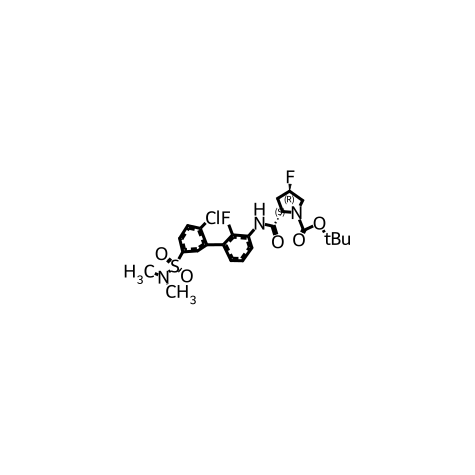 CN(C)S(=O)(=O)c1ccc(Cl)c(-c2cccc(NC(=O)[C@@H]3C[C@@H](F)CN3C(=O)OC(C)(C)C)c2F)c1